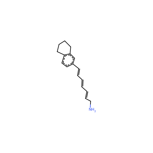 NC/C=C/C=C/C=C/c1ccc2c(c1)CCCC2